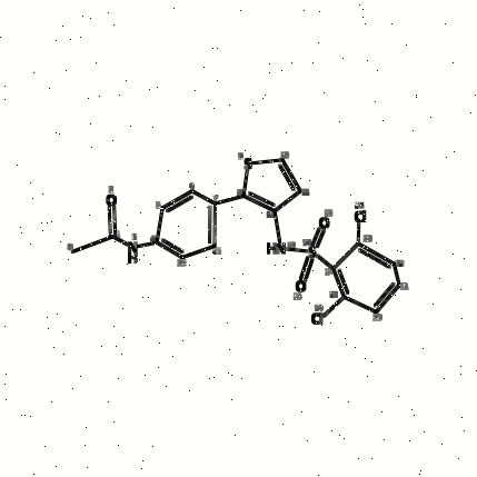 CC(=O)Nc1ccc(-c2sccc2NS(=O)(=O)c2c(Cl)cccc2Cl)cc1